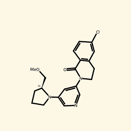 COC[C@@H]1CCCN1c1cncc(N2CCc3cc(Cl)ccc3C2=O)c1